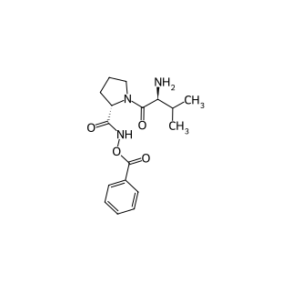 CC(C)[C@H](N)C(=O)N1CCC[C@H]1C(=O)NOC(=O)c1ccccc1